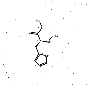 CC(C)(C)OC(=O)[C@H](Cc1cnc[nH]1)NC=O